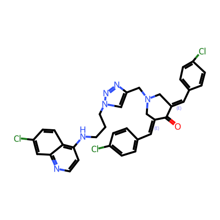 O=C1/C(=C/c2ccc(Cl)cc2)CN(Cc2cn(CCCNc3ccnc4cc(Cl)ccc34)nn2)C/C1=C\c1ccc(Cl)cc1